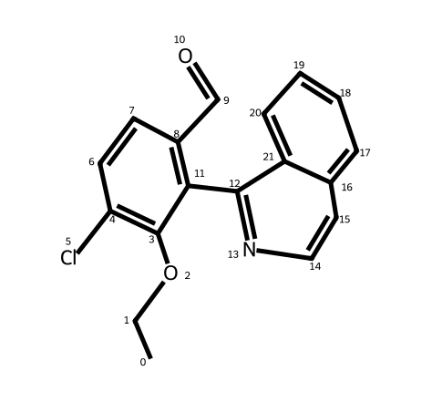 CCOc1c(Cl)ccc(C=O)c1-c1nccc2ccccc12